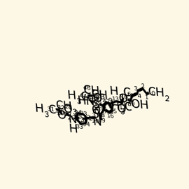 C=C/C=C\C=C(/C)C(C)(O)OC(=O)Cc1ccc(-c2cnc(C34CCC(NC(=O)OC(C)C)(CC3)CC4)s2)c(S(=O)(=O)NC(C)(C)C)c1